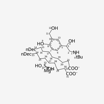 CC(C)(C)NCC(O)c1ccc(O)c(CO)c1.CCCCCCCCCCCCCCCCCC(=O)[O-].CCCCCCCCCCCCCCCCCC(=O)[O-].O=S(=O)(O)O.[Mg+2]